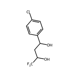 OC(CC(O)C(F)(F)F)c1ccc(Cl)cc1